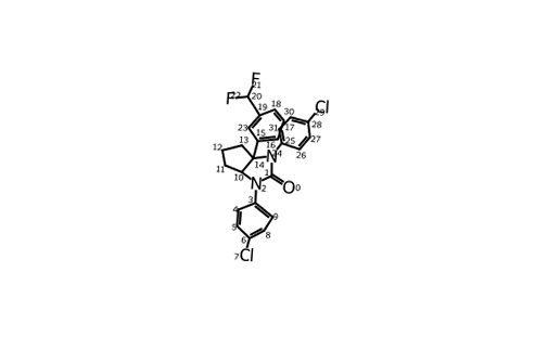 O=C1N(c2ccc(Cl)cc2)C2CCCC2(c2cccc(C(F)F)c2)N1c1ccc(Cl)cc1